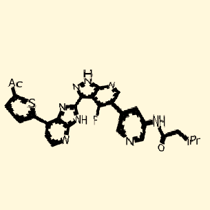 CC(=O)c1ccc(-c2ccnc3[nH]c(-c4n[nH]c5ncc(-c6cncc(NC(=O)CC(C)C)c6)c(F)c45)nc23)s1